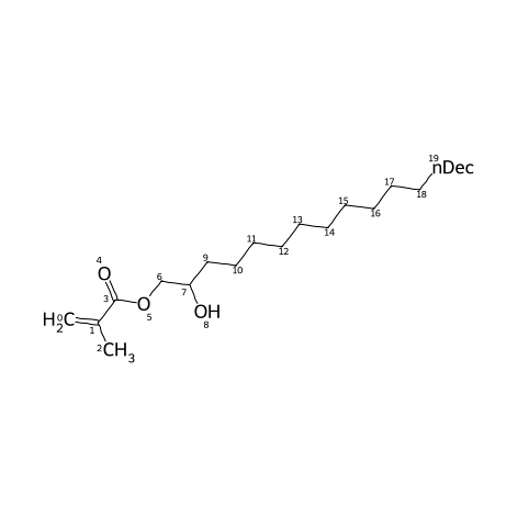 C=C(C)C(=O)OCC(O)CCCCCCCCCCCCCCCCCCCC